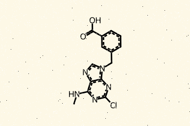 CNc1nc(Cl)nc2c1ncn2Cc1cccc(C(=O)O)c1